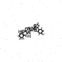 C=CC(c1ccc(C)cc1)S(=O)(=O)NCC(=O)N[C@@H](Cc1ccccc1)C(=O)O